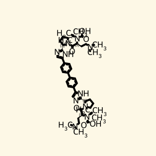 CN(C)CC[C@@H](C(=O)N1CCC[C@H]1c1ncc(-c2ccc(-c3ccc(-c4cnc([C@@H]5CCCN5C(=O)[C@H](CCN(C)C)N(C(=O)O)C(C)(C)C)[nH]4)cc3)cc2)[nH]1)N(C(=O)O)C(C)(C)C